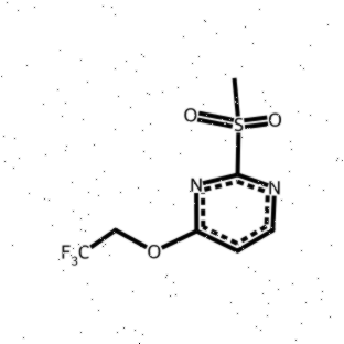 CS(=O)(=O)c1nccc(OCC(F)(F)F)n1